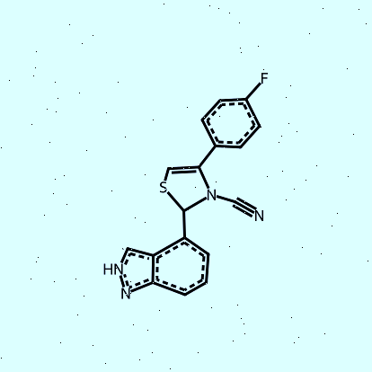 N#CN1C(c2ccc(F)cc2)=CSC1c1cccc2n[nH][c]c12